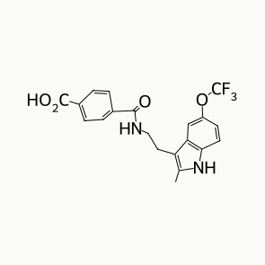 Cc1[nH]c2ccc(OC(F)(F)F)cc2c1CCNC(=O)c1ccc(C(=O)O)cc1